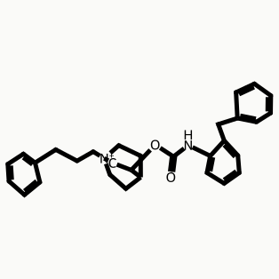 O=C(Nc1ccccc1Cc1ccccc1)OC1C[N+]2(CCCc3ccccc3)CCC1CC2